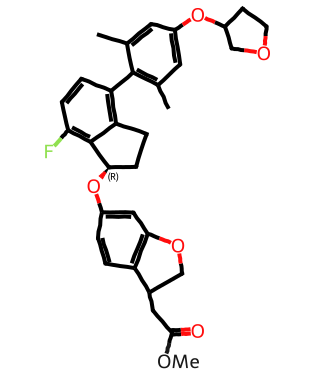 COC(=O)CC1COc2cc(O[C@@H]3CCc4c(-c5c(C)cc(OC6CCOC6)cc5C)ccc(F)c43)ccc21